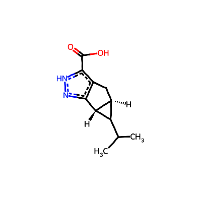 CC(C)C1[C@@H]2Cc3c(n[nH]c3C(=O)O)[C@@H]12